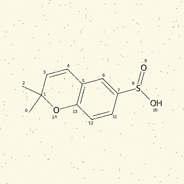 CC1(C)C=Cc2cc(S(=O)O)ccc2O1